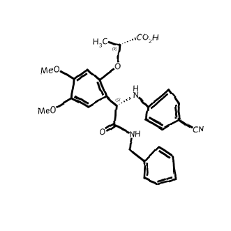 COc1cc(O[C@H](C)C(=O)O)c([C@H](Nc2ccc(C#N)cc2)C(=O)NCc2ccccc2)cc1OC